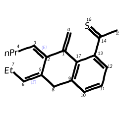 C=C1C(=C/CCC)/C(=C\CC)Cc2cccc(C(C)=S)c21